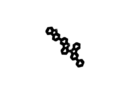 c1ccc(-c2ccc3c(c2)c2ccccc2n3-c2cccc3c2sc2ccc(-c4ccc5c(c4)sc4ccccc45)cc23)cc1